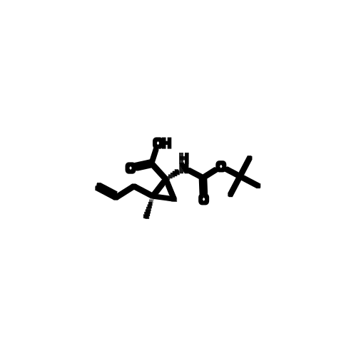 C=CC[C@]1(C)C[C@]1(NC(=O)OC(C)(C)C)C(=O)O